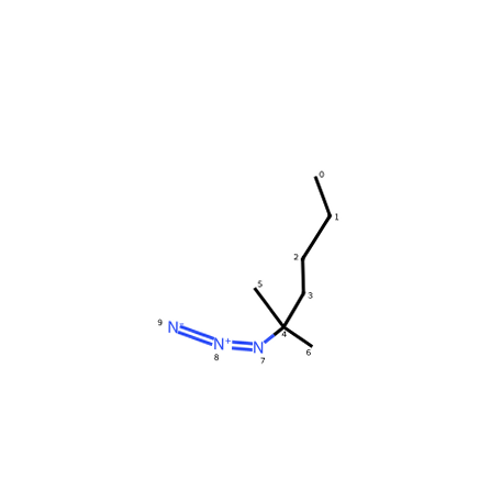 CCCCC(C)(C)N=[N+]=[N-]